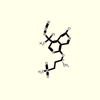 CCC(C)(N=[N+]=[N-])c1cnc(O[C@H](C)CCS(C)(=O)=O)c2cnc(Cl)cc12